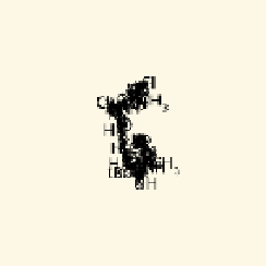 COC(C)c1c(NC(=O)Nc2cc(Cl)cnc2OCC(=O)NCCCCCCC(=O)NC(C(=O)N2C[C@H](O)C[C@H]2C(=O)NC(C)c2ccc(-c3scnc3C)cc2)C(C)(C)C)cnc2cc(Cl)nn12